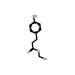 CC(=O)COC(=O)CCc1ccc(O)cc1